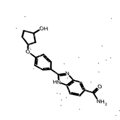 NC(=O)c1ccc2[nH]c(-c3ccc(OC4CCC(O)C4)cc3)nc2c1